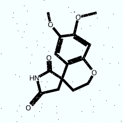 COc1cc2c(cc1OC)C1(CCO2)CC(=O)NC1=O